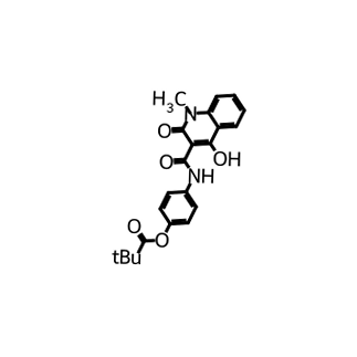 Cn1c(=O)c(C(=O)Nc2ccc(OC(=O)C(C)(C)C)cc2)c(O)c2ccccc21